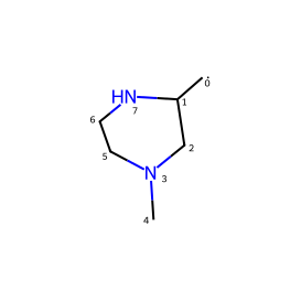 [CH2]C1CN(C)CCN1